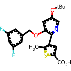 Cc1sc(C(=O)O)cc1-c1ncc(OC(C)(C)C)cc1OCc1cc(F)cc(F)c1